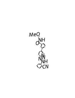 COCCNC(=O)c1cccc(-c2ccc3nc(Nc4ccccc4C#N)nn3c2)c1